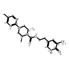 Cc1cnc(N2C[C@H](C)N(C(=O)OCCc3c[nH]c(=O)c(C(F)(F)F)c3)[C@@H](C)C2)nc1